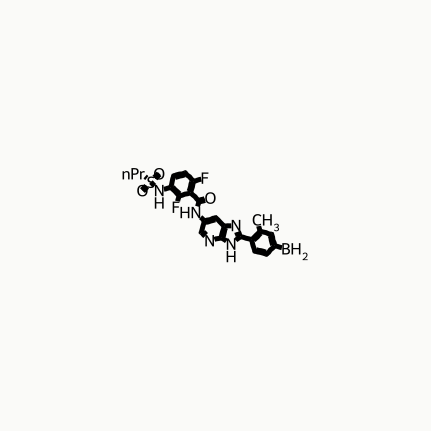 Bc1ccc(-c2nc3cc(NC(=O)c4c(F)ccc(NS(=O)(=O)CCC)c4F)cnc3[nH]2)c(C)c1